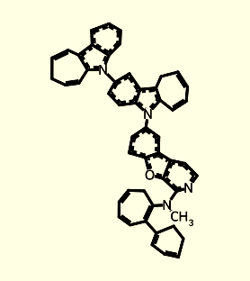 CN(C1=C(C2=CC=CCC2)C=CC=CC1)c1nccc2c1oc1ccc(-n3c4c(c5cc(-n6c7c(c8ccccc86)C=CCC=C7)ccc53)CC=CC=C4)cc12